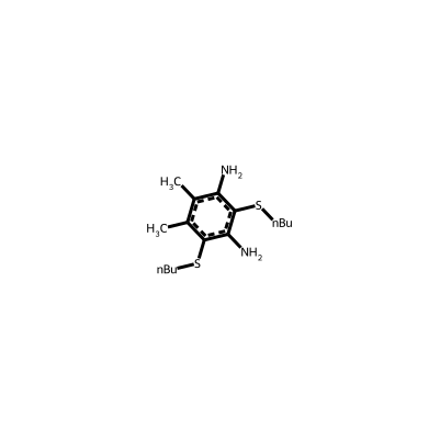 CCCCSc1c(C)c(C)c(N)c(SCCCC)c1N